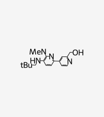 CNc1nc(-c2ccnc(CO)c2)ccc1NCC(C)(C)C